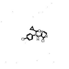 O=C(C1CC1)N(Nc1nccnc1Cl)c1ccc(Cl)cc1